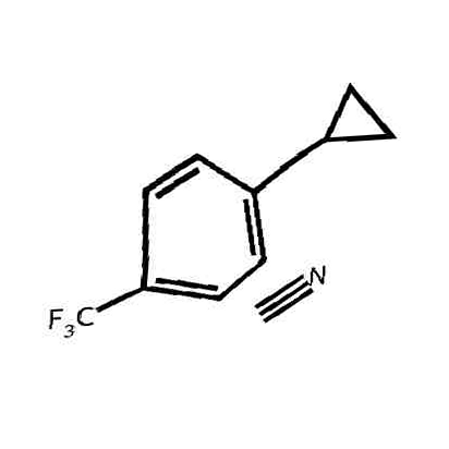 C#N.FC(F)(F)c1ccc(C2CC2)cc1